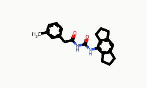 Cc1cccc(CC(=O)NC(=O)Nc2c3c(cc4c2CCC4)CCC3)c1